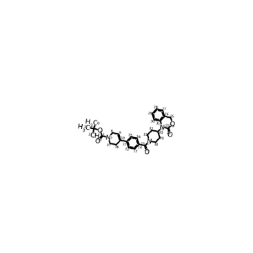 CC(C)(C)OC(=O)N1CC=C(c2ccc(C(=O)N3CCC(N4C(=O)OCc5ccccc54)CC3)cc2)CC1